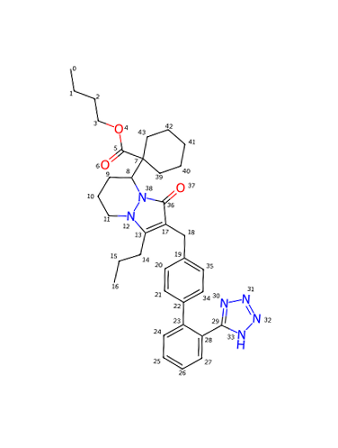 CCCCOC(=O)C1(C2CCCn3c(CCC)c(Cc4ccc(-c5ccccc5-c5nnn[nH]5)cc4)c(=O)n32)CCCCC1